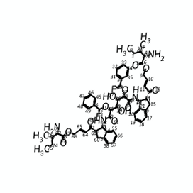 CC[C@H](C)[C@H](N)C(=O)OCC=CC(=O)[C@@H]1Cc2ccccc2[C@H]1NC(=O)[C@H](OC(F)c1ccccc1)[C@H](O)[C@@H](O)[C@@H](OC(F)c1ccccc1)C(=O)N[C@@H]1c2ccccc2C[C@H]1C(=O)C=CCOC(=O)[C@@H](N)[C@@H](C)CC